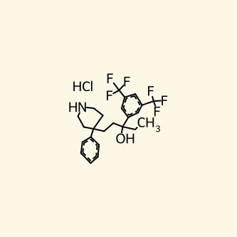 CCC(O)(CCC1(c2ccccc2)CCNCC1)c1cc(C(F)(F)F)cc(C(F)(F)F)c1.Cl